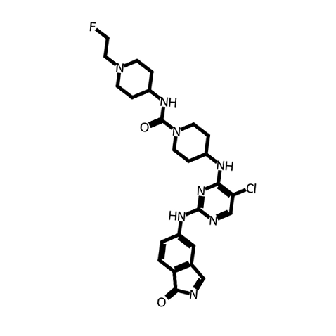 O=C1N=Cc2cc(Nc3ncc(Cl)c(NC4CCN(C(=O)NC5CCN(CCF)CC5)CC4)n3)ccc21